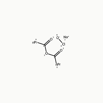 CCCC(=O)OC(=O)CCC.[Na+].[O-]Cl